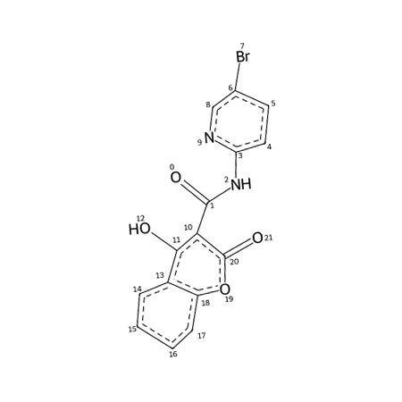 O=C(Nc1ccc(Br)cn1)c1c(O)c2ccccc2oc1=O